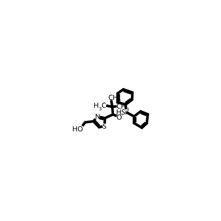 CC(C)(C)C(O[SiH](c1ccccc1)c1ccccc1)c1nc(CO)cs1